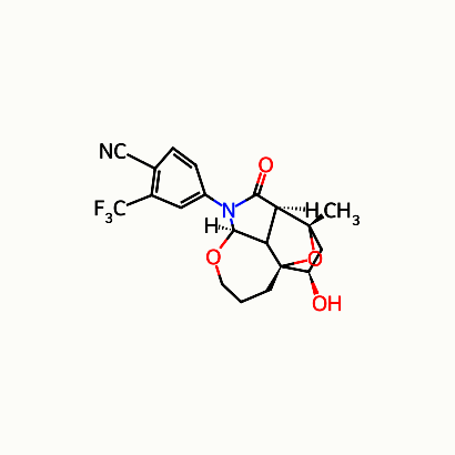 C[C@]12C[C@@H](O)[C@@]3(CCCO[C@@H]4C3[C@H]1C(=O)N4c1ccc(C#N)c(C(F)(F)F)c1)O2